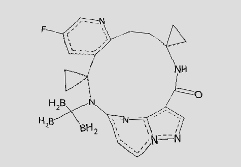 BC(B)(B)N1c2ccn3ncc(c3n2)C(=O)NC2(CCc3ncc(F)cc3C13CC3)CC2